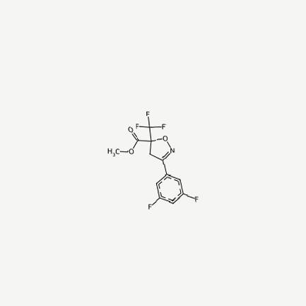 COC(=O)C1(C(F)(F)F)CC(c2cc(F)cc(F)c2)=NO1